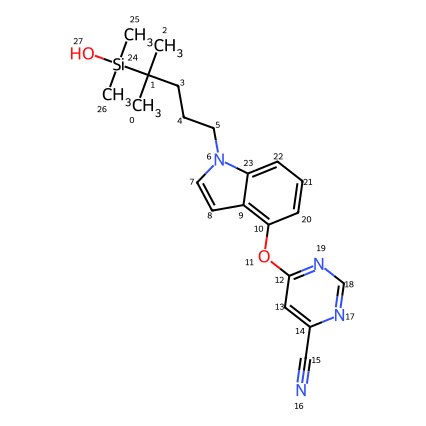 CC(C)(CCCn1ccc2c(Oc3cc(C#N)ncn3)cccc21)[Si](C)(C)O